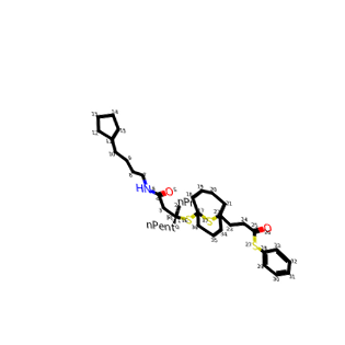 CCCCC[C@](CCC)(CC(=O)NCCCCC1CCCC1)SC12CCCCC(CCC(=O)Sc3ccccc3)(CCC1)S2